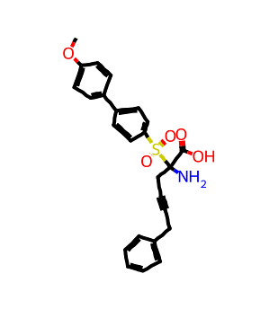 COc1ccc(-c2ccc(S(=O)(=O)C(N)(CC#CCc3ccccc3)C(=O)O)cc2)cc1